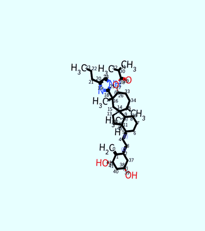 C=C1/C(=C\C=C2/CCC[C@@]3(C)[C@H]2CC[C@]32CC(C)(c3nc(CCC)c[nH]3)[C@H](OC(=O)C(C)C)CC[C@H]2C)C[C@@H](O)C[C@@H]1O